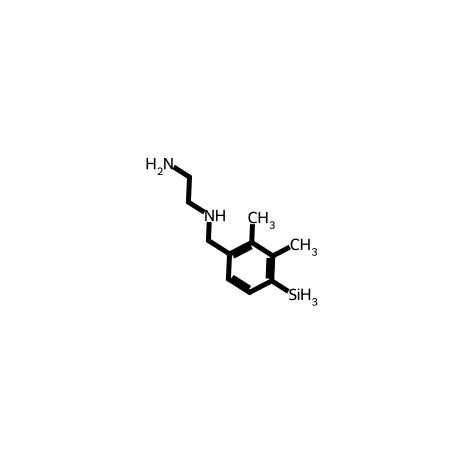 Cc1c([SiH3])ccc(CNCCN)c1C